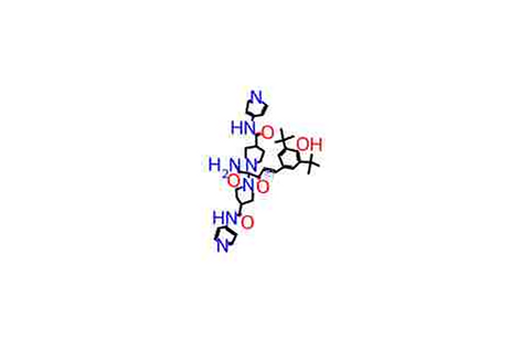 CC(C)(C)c1cc(/C=C/C(=O)C(C(N)=O)(N2CCC(C(=O)Nc3ccncc3)CC2)N2CCC(C(=O)Nc3ccncc3)CC2)cc(C(C)(C)C)c1O